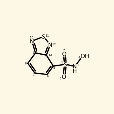 O=S(=O)(NO)c1cccc2nsnc12